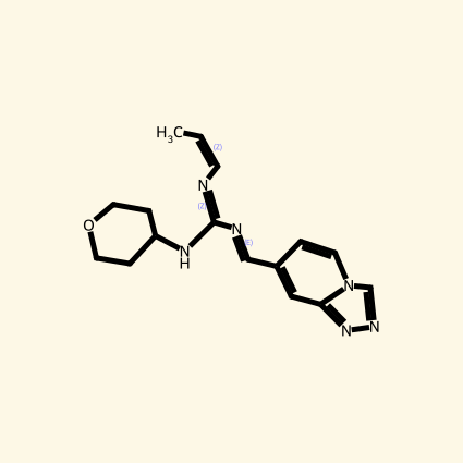 C\C=C/N=C(\N=C\c1ccn2cnnc2c1)NC1CCOCC1